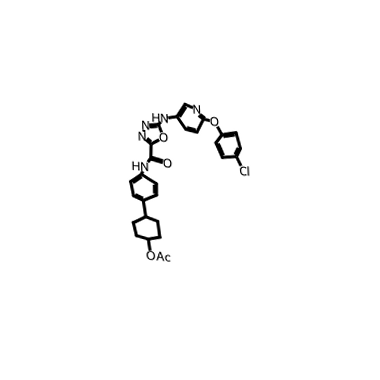 CC(=O)OC1CCC(c2ccc(NC(=O)c3nnc(Nc4ccc(Oc5ccc(Cl)cc5)nc4)o3)cc2)CC1